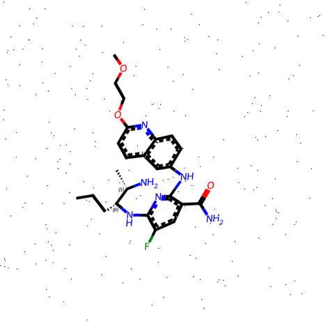 CCC[C@@H](Nc1nc(Nc2ccc3nc(OCCOC)ccc3c2)c(C(N)=O)cc1F)[C@H](C)N